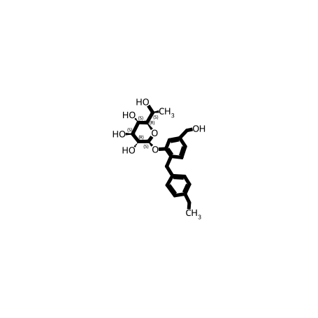 CCc1ccc(Cc2ccc(CO)cc2O[C@@H]2O[C@H]([C@H](C)O)[C@@H](O)[C@H](O)[C@H]2O)cc1